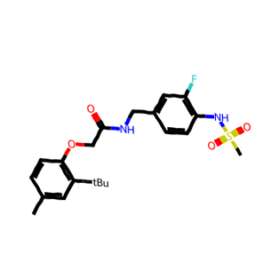 Cc1ccc(OCC(=O)NCc2ccc(NS(C)(=O)=O)c(F)c2)c(C(C)(C)C)c1